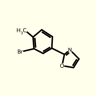 Cc1ccc(-c2ncco2)cc1Br